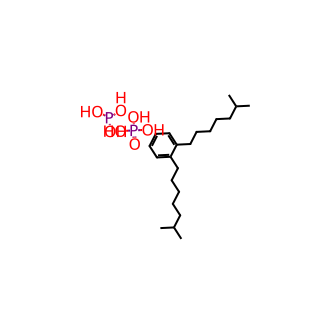 CC(C)CCCCCc1ccccc1CCCCCC(C)C.O=P(O)(O)O.OP(O)O